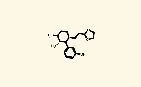 C[C@H]1CCN(CCC2OCCO2)C(c2cccc(O)c2)[C@@H]1C